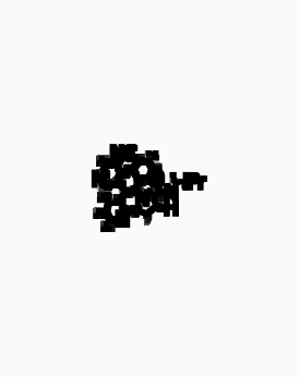 CC(C)CNC(=O)C1CCCN1C(c1cccc(C#N)c1)C(c1cccnc1)c1cccnc1